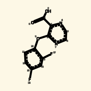 O=C(O)c1nccnc1Oc1ccc(F)cc1F